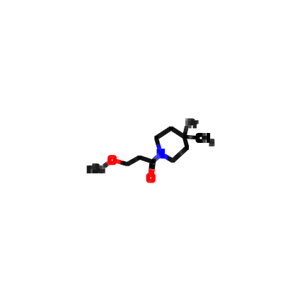 CCCCOCCC(=O)N1CCC(C)(C(C)C)CC1